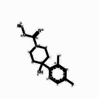 Cc1cnc(C2(O)CCN(C(=O)OC(C)(C)C)CC2)c(C)c1